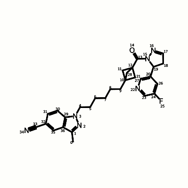 Cc1nn(CCCCCCC23CC(C(=O)N4N=CCC4c4cncc(F)c4)(C2)C3)c2ccc(C#N)cc12